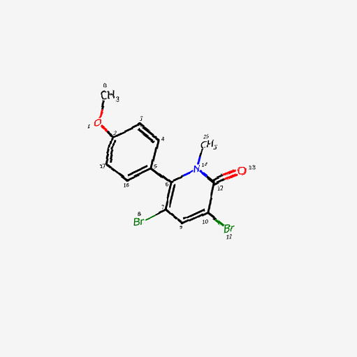 COc1ccc(-c2c(Br)cc(Br)c(=O)n2C)cc1